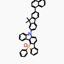 CC1(C)c2cc(-c3cccc4ccccc34)ccc2-c2ccc(-n3c4ccccc4c4c5c(ccc43)-c3ccccc3P5(=O)c3ccccc3)cc21